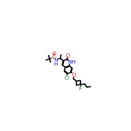 CCCC1(F)CC(COc2cc3[nH]c(=O)c(C(C)N[S+]([O-])C(C)(C)C)cc3cc2Cl)C1